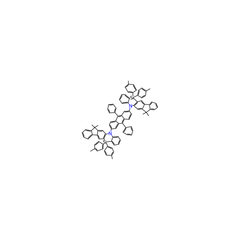 Cc1ccc([Si]2(c3ccc(C)cc3)c3ccccc3N(c3ccc4c(-c5ccccc5)c5cc(N6c7ccccc7[Si](c7ccc(C)cc7)(c7ccc(C)cc7)c7cc8c(cc76)C(C)(C)c6ccccc6-8)ccc5c(-c5ccccc5)c4c3)c3cc4c(cc32)-c2ccccc2C4(C)C)cc1